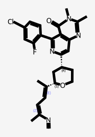 C=N/C(C)=C\C=C(/C)[C@@H]1C[C@H](c2cc3nc(C)n(C)c(=O)c3c(-c3ccc(Cl)cc3F)n2)CCO1